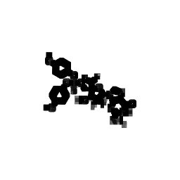 COc1ccc(OP(=S)(OC[C@@]2(C(F)F)O[C@@H](n3cnc4c(=O)[nH]c(N)nc43)C(F)(F)[C@@H]2O)Oc2ccc(OC)cc2)cc1